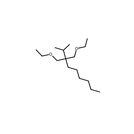 CCCCCCC(COCC)(COCC)C(C)C